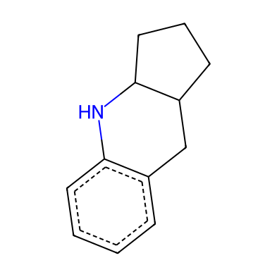 c1ccc2c(c1)CC1CCCC1N2